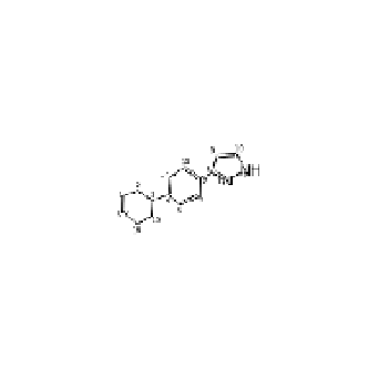 [CH]1CCC(c2ccc(-c3cc[nH]n3)cc2)CC1